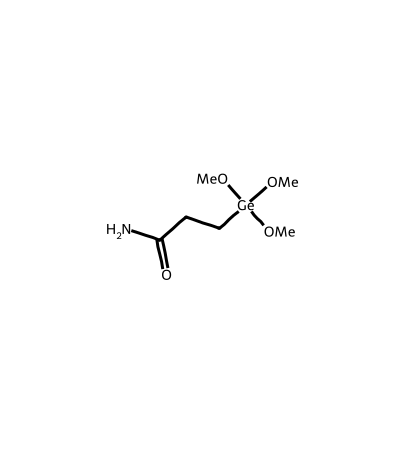 C[O][Ge]([CH2]CC(N)=O)([O]C)[O]C